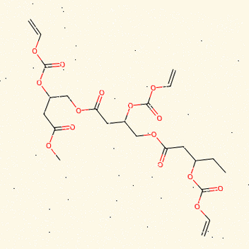 C=COC(=O)OC(COC(=O)CC(COC(=O)CC(CC)OC(=O)OC=C)OC(=O)OC=C)CC(=O)OC